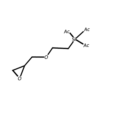 CC(=O)[Si](CCOCC1CO1)(C(C)=O)C(C)=O